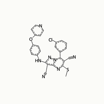 CSc1nc2c(C#N)c(Nc3ccc(Oc4ccncc4)cc3)nn2c(-c2cccc(Cl)c2)c1C#N